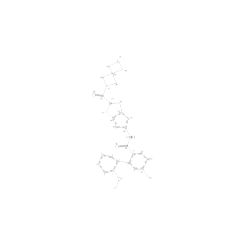 COc1ccccc1-c1cc(C)ncc1C(=O)Nc1nc2c(s1)CN(C(=O)C1CC3(COC3)C1)C2